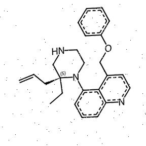 C=CC[C@@]1(CC)CNCCN1c1cccc2nccc(COc3ccccc3)c12